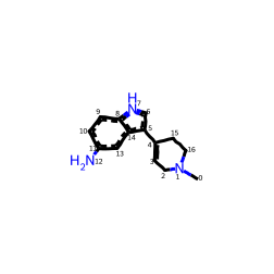 CN1CC=C(c2c[nH]c3ccc(N)cc23)CC1